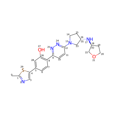 Cc1ncc(-c2ccc(-c3ccc(N4CC[C@H](N[C@H]5CCOC5)C4)nn3)c(O)c2)s1